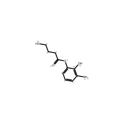 Nc1cccc(OC(=O)CCCO)c1O